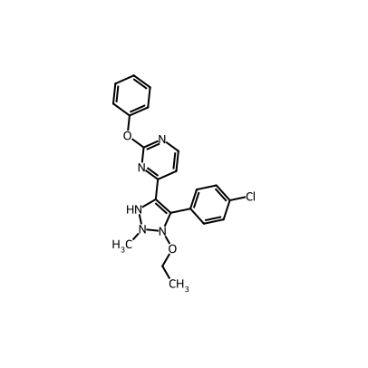 CCON1C(c2ccc(Cl)cc2)=C(c2ccnc(Oc3ccccc3)n2)NN1C